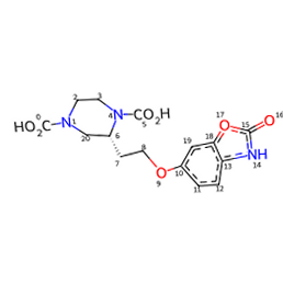 O=C(O)N1CCN(C(=O)O)[C@H](CCOc2ccc3[nH]c(=O)oc3c2)C1